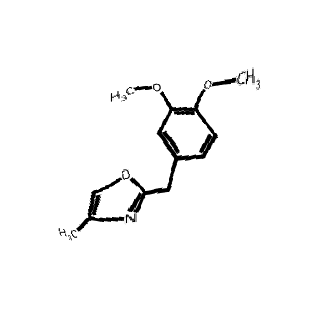 COc1ccc(Cc2nc(C)co2)cc1OC